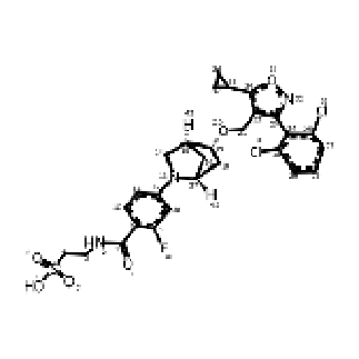 O=C(NCCS(=O)(=O)O)c1ccc(N2C[C@@H]3C[C@@H]2C[C@H]3OCc2c(-c3c(Cl)cccc3Cl)noc2C2CC2)cc1F